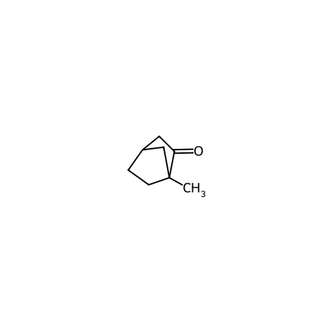 CC12CCC(CC1=O)C2